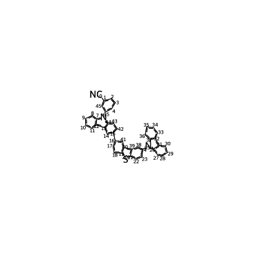 N#Cc1cccc(-n2c3ccccc3c3cc(-c4ccc5sc6ccc(-n7c8ccccc8c8ccccc87)cc6c5c4)ccc32)c1